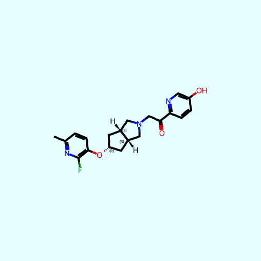 Cc1ccc(O[C@@H]2C[C@@H]3CN(CC(=O)c4ccc(O)cn4)C[C@@H]3C2)c(F)n1